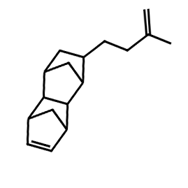 C=C(C)CCC1CC2CC1C1C3C=CC(C3)C21